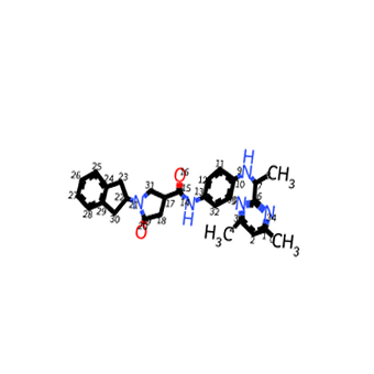 Cc1cc(C)nc(C(C)Nc2ccc(NC(=O)C3CC(=O)N(C4Cc5ccccc5C4)C3)cc2)n1